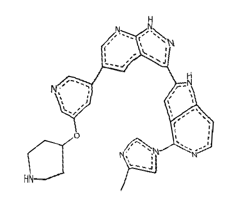 Cc1cn(-c2nccc3[nH]c(-c4n[nH]c5ncc(-c6cncc(OC7CCNCC7)c6)cc45)cc23)cn1